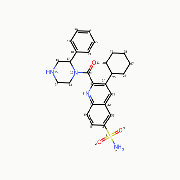 NS(=O)(=O)c1ccc2nc(C(=O)N3CCNCC3c3ccccc3)c(C3CCCCC3)cc2c1